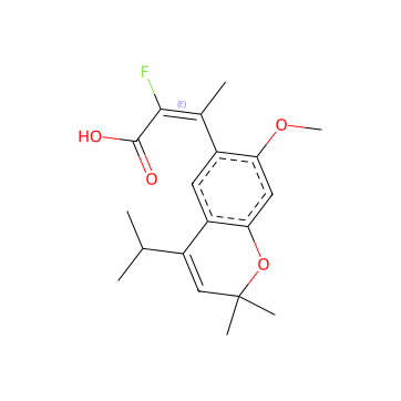 COc1cc2c(cc1/C(C)=C(/F)C(=O)O)C(C(C)C)=CC(C)(C)O2